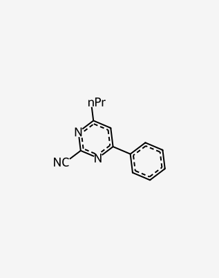 CCCc1cc(-c2ccccc2)nc(C#N)n1